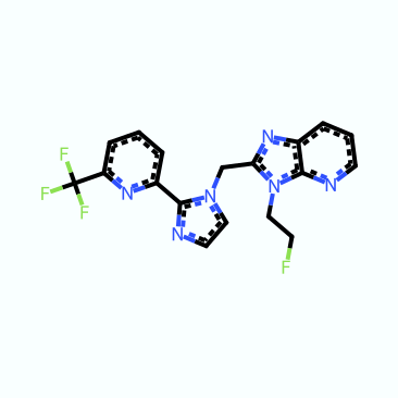 FCCn1c(Cn2ccnc2-c2cccc(C(F)(F)F)n2)nc2cccnc21